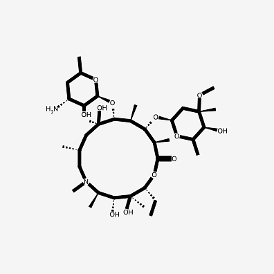 CC[C@H]1OC(=O)[C@H](C)[C@@H](O[C@H]2C[C@](C)(OC)[C@@H](O)C(C)O2)[C@H](C)[C@@H](O[C@@H]2OC(C)C[C@@H](N)C2O)[C@](C)(O)C[C@@H](C)CN(C)[C@H](C)[C@@H](O)[C@]1(C)O